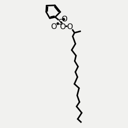 CCCCCCCCCCCCCCCCC(C)OOS(=O)(=O)c1ccccc1